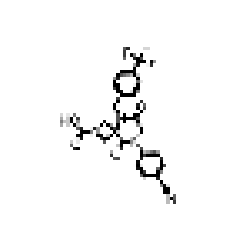 N#Cc1ccc(N2CC(=O)N(Cc3ccc(C(F)(F)F)cc3)C3(CN(C(=O)O)C3)C2=O)cc1